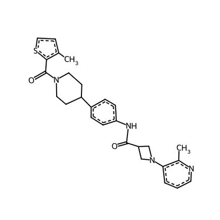 Cc1ccsc1C(=O)N1CCC(c2ccc(NC(=O)C3CN(c4cccnc4C)C3)cc2)CC1